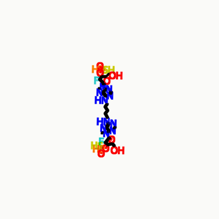 O=[PH](S)OC1[C@@H](F)C(n2cnc3c(NCCCCCNc4ncnc5c4ncn5C4OC(CO)[C@@H](O[PH](=O)S)[C@H]4F)ncnc32)O[C@@H]1CO